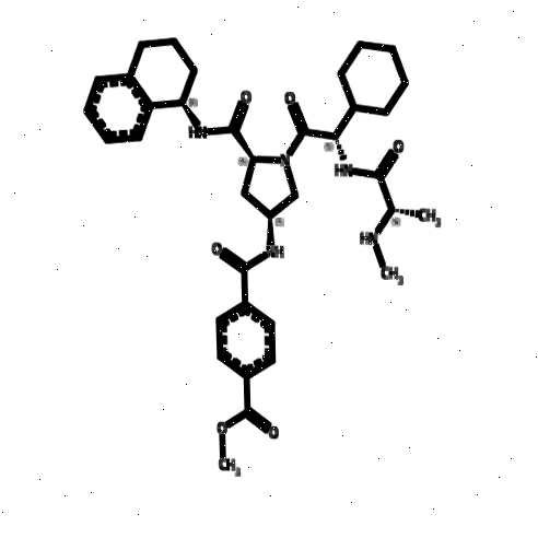 CN[C@@H](C)C(=O)N[C@H](C(=O)N1C[C@@H](NC(=O)c2ccc(C(=O)OC)cc2)C[C@H]1C(=O)N[C@@H]1CCCc2ccccc21)C1CCCCC1